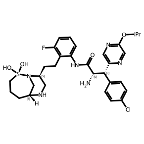 CC(C)Oc1cnc([C@H](c2ccc(Cl)cc2)[C@H](N)C(=O)Nc2cccc(F)c2CC[C@H]2CN[C@@H]3CCCS(O)(O)N2C3)cn1